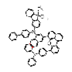 CC1(C)C2=C(CCC=C2)c2cc(N(c3ccc(-c4ccccc4)cc3)c3cc(-c4ccc5cccc6c5c4Oc4c(-c5ccc(N(c7ccccc7)c7ccccc7)cc5)cccc4-6)cc4ccccc34)ccc21